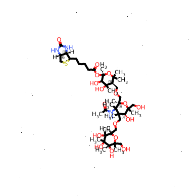 CC(=O)NC1(C)C(C)(COC[C@]2(C)OC(C)(CO)[C@](C)(O)C(C)(O)C2(C)O)[C@H](O)C(C)(CO)O[C@]1(C)COC[C@@H]1C(C)(C)O[C@](C)(OC(=O)CCCCC2SC[C@@H]3NC(=O)N[C@H]23)C(O)C1(C)O